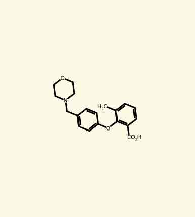 Cc1cccc(C(=O)O)c1Oc1ccc(CN2CCOCC2)cc1